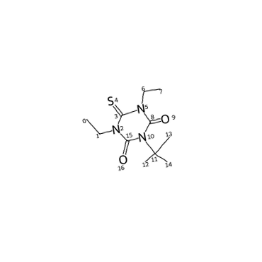 CCn1c(=S)n(CC)c(=O)n(C(C)(C)C)c1=O